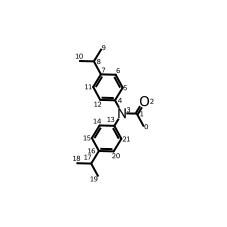 CC(=O)N(c1ccc(C(C)C)cc1)c1ccc(C(C)C)cc1